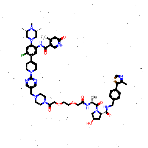 Cc1ncsc1-c1ccc(CNC(=O)[C@@H]2C[C@@H](O)CN2C(=O)[C@@H](NC(=O)COCCOCC(=O)N2CCN(Cc3cnc(N4CC=C(c5cc(NC(=O)c6c[nH]c(=O)cc6C(F)(F)F)c(N6C[C@@H](C)N(C)[C@@H](C)C6)cc5F)CC4)nc3)CC2)C(C)(C)C)cc1